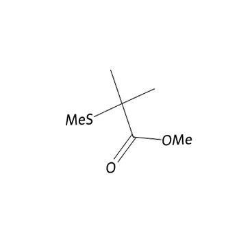 COC(=O)C(C)(C)SC